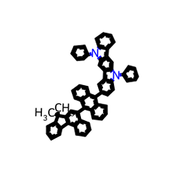 CC1(C)c2ccccc2-c2c1cc(-c1c3ccccc3c(-c3ccc4c(c3)c3cc5c(cc3n4-c3ccccc3)c3ccccc3n5-c3ccccc3)c3ccccc13)c1ccccc21